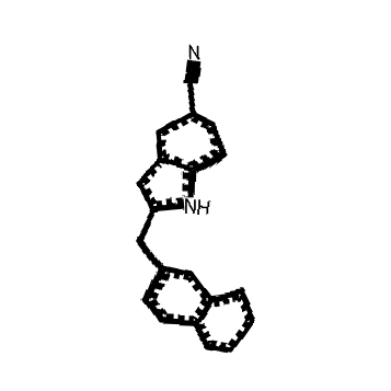 N#Cc1ccc2[nH]c(Cc3ccc4ccccc4c3)cc2c1